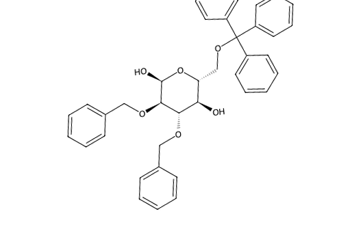 O[C@H]1[C@H](OCc2ccccc2)[C@@H](OCc2ccccc2)[C@@H](O)O[C@@H]1COC(c1ccccc1)(c1ccccc1)c1ccccc1